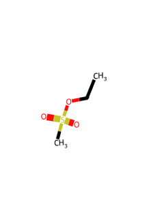 C[CH]OS(C)(=O)=O